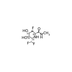 CNC(=O)[C@H]1N[C@H](C(F)F)[C@@H](O)[C@H](O)[C@@H]1F